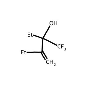 C=C(CC)C(O)(CC)C(F)(F)F